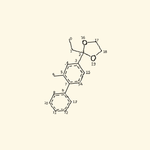 CCC1(c2[c]c(C)c(-c3ccccc3)cc2)OCCO1